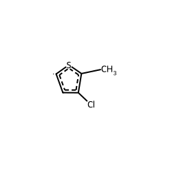 Cc1s[c]cc1Cl